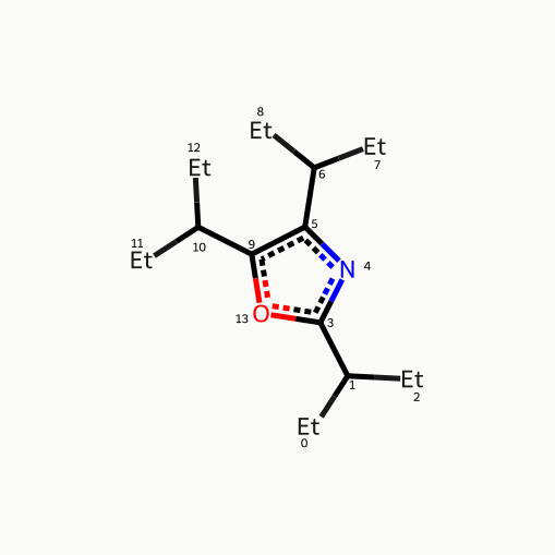 CCC(CC)c1nc(C(CC)CC)c(C(CC)CC)o1